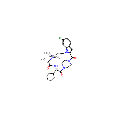 COCCn1c(C(=O)N2CCN(C(=O)[C@@H](NC(=O)[C@H](C)N(C)C(=O)O)C3CCCCC3)CC2)cc2ccc(F)cc21